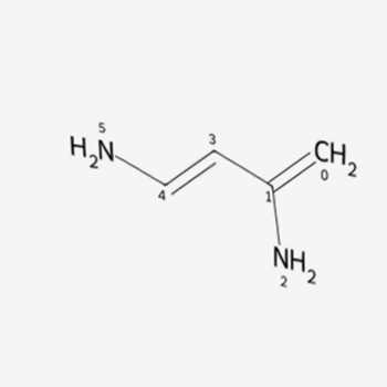 C=C(N)C=CN